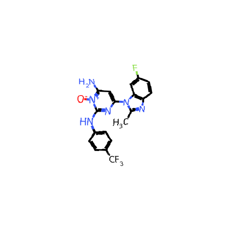 Cc1nc2ccc(F)cc2n1-c1cc(N)[n+]([O-])c(Nc2ccc(C(F)(F)F)cc2)n1